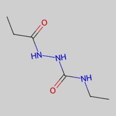 CCNC(=O)NNC(=O)CC